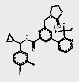 N=C1SCCN1Cc1cc(C(=O)NC(c2ccc(F)c(F)c2)C2CC2)cc(-c2cccnc2C(F)(F)F)c1